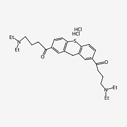 CCN(CC)CCCC(=O)c1ccc2c(c1)Cc1cc(C(=O)CCCN(CC)CC)ccc1S2.Cl.Cl